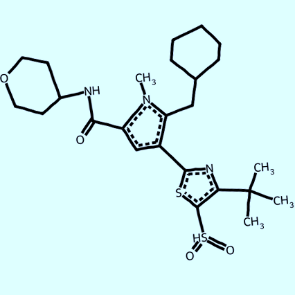 Cn1c(C(=O)NC2CCOCC2)cc(-c2nc(C(C)(C)C)c([SH](=O)=O)s2)c1CC1CCCCC1